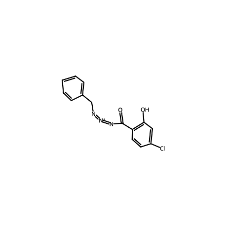 O=C(N=[N+]=NCc1ccccc1)c1ccc(Cl)cc1O